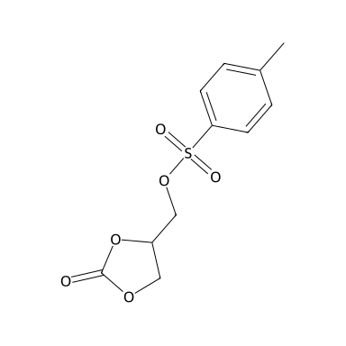 Cc1ccc(S(=O)(=O)OCC2COC(=O)O2)cc1